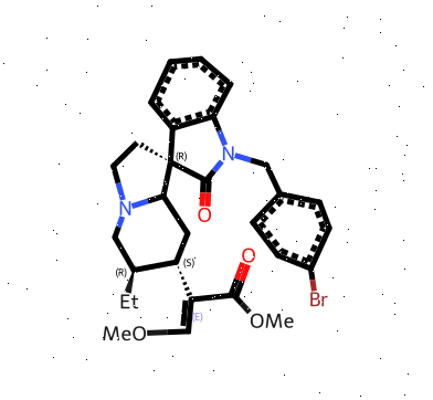 CC[C@H]1CN2CC[C@]3(C(=O)N(Cc4ccc(Br)cc4)c4ccccc43)C2C[C@@H]1/C(=C\OC)C(=O)OC